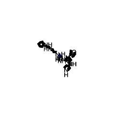 N=N/C(=C\NCCCNCCNC1CCCCC1)CNc1nc(NC2CCNCC2)cc(N2CCOCC2)n1